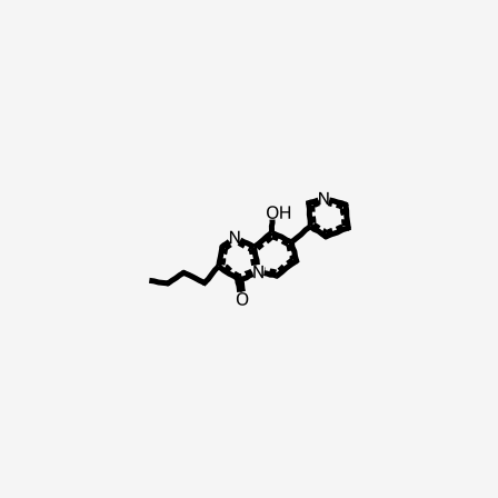 CCCCc1cnc2c(O)c(-c3cccnc3)ccn2c1=O